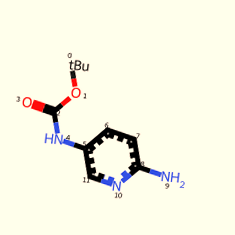 CC(C)(C)OC(=O)Nc1ccc(N)nc1